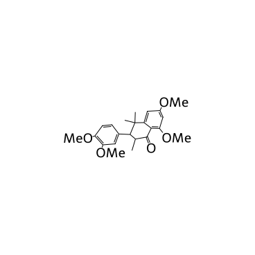 COc1cc(OC)c2c(c1)C(C)(C)C(c1ccc(OC)c(OC)c1)C(C)C2=O